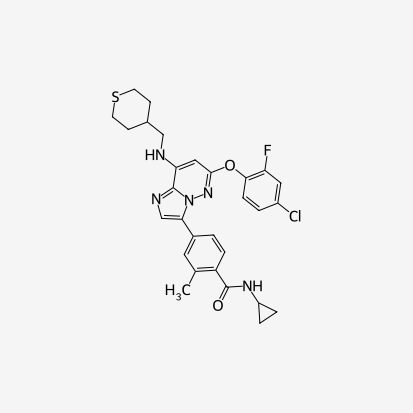 Cc1cc(-c2cnc3c(NCC4CCSCC4)cc(Oc4ccc(Cl)cc4F)nn23)ccc1C(=O)NC1CC1